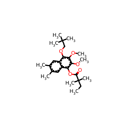 CCC(C)(C)C(=O)Oc1c(OC)c(OC)c(OCC(C)(C)C)c2cc(C)c(C)cc12